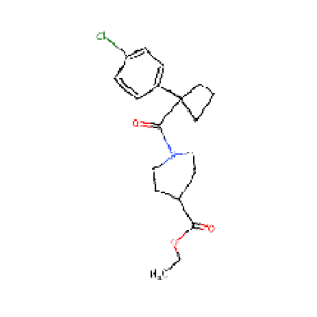 CCOC(=O)C1CCN(C(=O)C2(c3ccc(Cl)cc3)CCC2)CC1